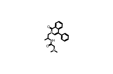 CC(Cn1cc(-c2ccccc2)c2ccccc2c1=O)NC(=O)CN(C)C